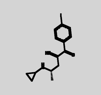 C[C@@H](CC(=N)C(=O)c1ccc(I)cc1)NC1CC1